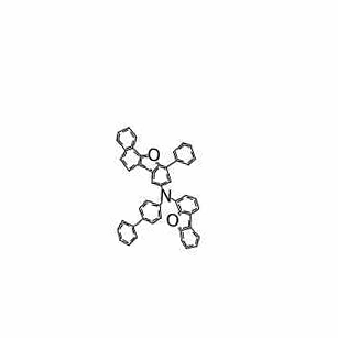 c1ccc(-c2ccc(N(c3cc(-c4ccccc4)c4oc5c6ccccc6ccc5c4c3)c3cccc4c3oc3ccccc34)cc2)cc1